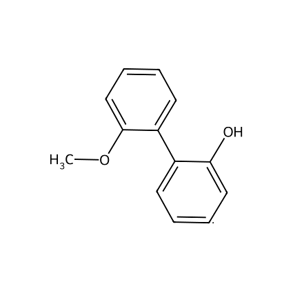 COc1ccccc1-c1cc[c]cc1O